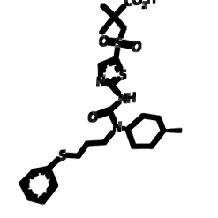 CC(C)(CS(=O)(=O)c1cnc(NC(=O)N(CCCSc2ccccc2)[C@H]2CC[C@H](C)CC2)s1)C(=O)O